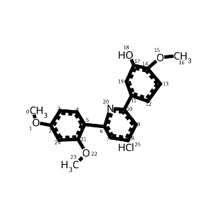 COc1ccc(-c2cccc(-c3ccc(OC)c(O)c3)n2)c(OC)c1.Cl